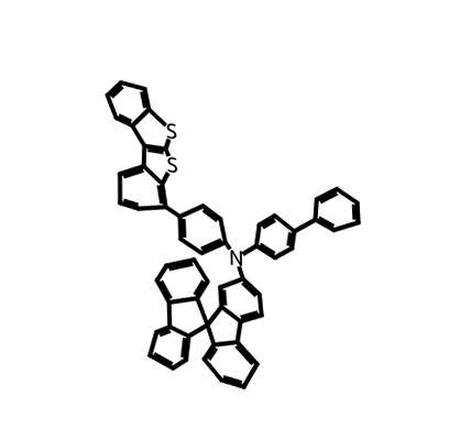 c1ccc(-c2ccc(N(c3ccc(-c4cccc5c4sc4sc6ccccc6c45)cc3)c3ccc4c(c3)C3(c5ccccc5-c5ccccc53)c3ccccc3-4)cc2)cc1